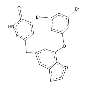 O=c1ccc(Cc2cc(Oc3cc(Br)cc(Br)c3)c3occc3c2)n[nH]1